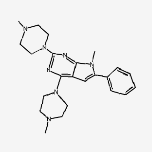 CN1CCN(c2nc(N3CCN(C)CC3)c3cc(-c4ccccc4)n(C)c3n2)CC1